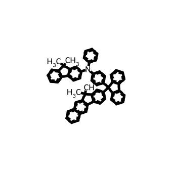 CC1(C)c2ccccc2-c2ccc(N(c3ccccc3)c3ccc(C4(c5ccc6c(c5)C(C)(C)c5cc7ccccc7cc5-6)c5ccccc5-c5ccccc54)cc3)cc21